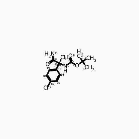 CC(C)(C)OC(=O)N[C@@](C)(C(N)=O)c1ccc(Cl)cc1